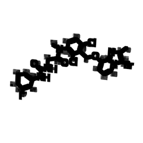 Cc1nc2c(OCc3c(Cl)ccc(N(C)C(=O)CNC(=O)Nc4cccc(F)c4)c3Cl)cccn2c1Br